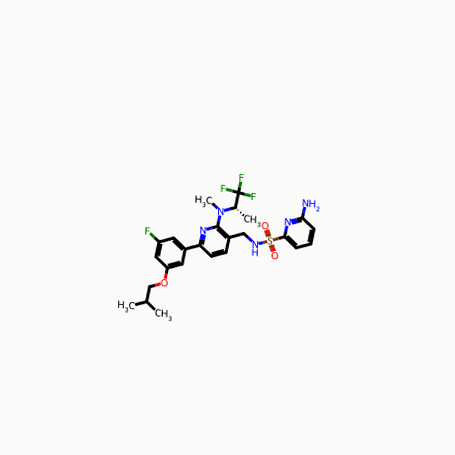 CC(C)COc1cc(F)cc(-c2ccc(CNS(=O)(=O)c3cccc(N)n3)c(N(C)[C@@H](C)C(F)(F)F)n2)c1